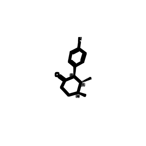 C[C@@H]1[C@@H](C)CCC(=O)[C@H]1c1ccc(F)cc1